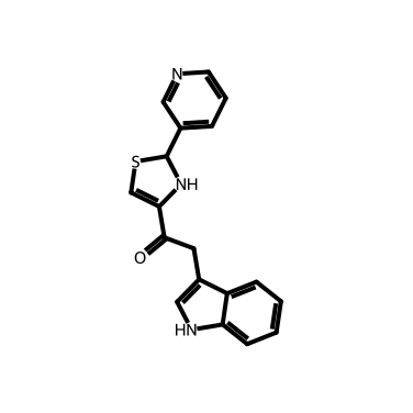 O=C(Cc1c[nH]c2ccccc12)C1=CSC(c2cccnc2)N1